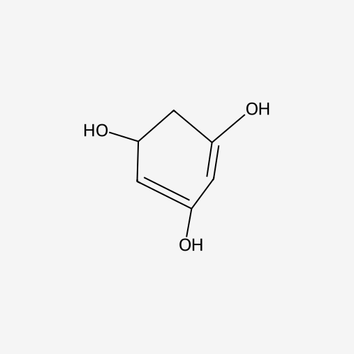 OC1=CC(O)CC(O)=C1